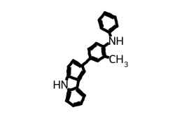 Cc1cc(-c2ccc3[nH]c4ccccc4c3c2)ccc1Nc1ccccc1